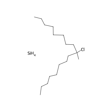 CCCCCCCCC(C)(Cl)CCCCCCCC.[SiH4]